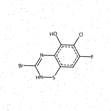 Oc1c(Cl)c(F)cc2c1N=C(Br)NS2